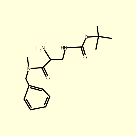 CN(Cc1ccccc1)C(=O)C(N)CNC(=O)OC(C)(C)C